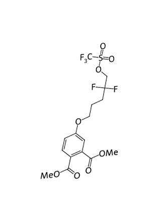 COC(=O)c1ccc(OCCCC(F)(F)COS(=O)(=O)C(F)(F)F)cc1C(=O)OC